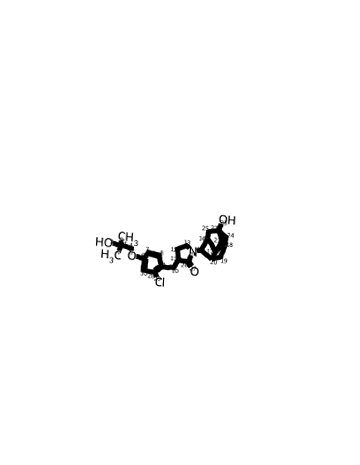 CC(C)(O)COc1ccc(CC2CCN(C3C4CC5CC3CC(O)(C5)C4)C2=O)c(Cl)c1